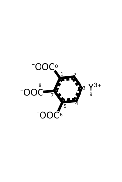 O=C([O-])c1cccc(C(=O)[O-])c1C(=O)[O-].[Y+3]